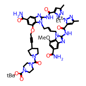 CCn1nc(C)cc1C(=O)Nc1nc2cc(C(N)=O)cc(OC)c2n1C/C=C/Cn1c(NC(=O)c2cc(C)nn2CC)nc2cc(C(N)=O)cc(OCC#CC3CCN(C(=O)N4CCN(C(=O)OC(C)(C)C)CC4)CC3)c21